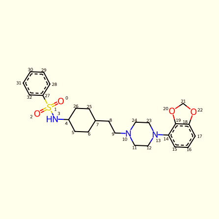 O=S(=O)(NC1CCC(CCN2CCN(c3cccc4c3OCO4)CC2)CC1)c1ccccc1